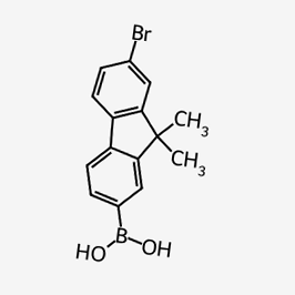 CC1(C)c2cc(Br)ccc2-c2ccc(B(O)O)cc21